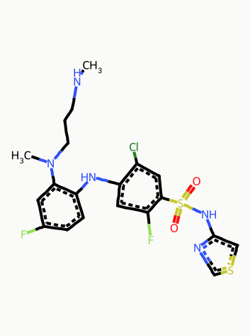 CNCCCN(C)c1cc(F)ccc1Nc1cc(F)c(S(=O)(=O)Nc2cscn2)cc1Cl